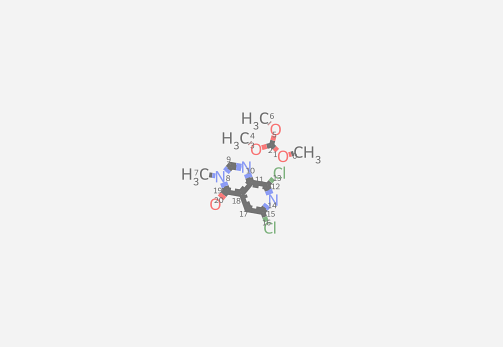 COC(OC)OC.Cn1cnc2c(Cl)nc(Cl)cc2c1=O